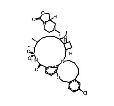 CO[C@]1(CN2CCN3C(=O)OC[C@@H]3C2)CCC[C@H](C)[C@@H](C)S(=O)(=O)NC(=O)c2ccc3c(c2)N(CCCCc2cc(Cl)ccc2CO3)C[C@@H]2CC[C@H]21